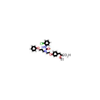 CCOC(Cc1ccc(OCCN(CCCOc2ccccc2)C(=O)Nc2ccccc2Cl)cc1)C(=O)O